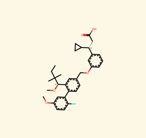 CCC(C)(C)[C@H](OC)c1cc(COc2cccc([C@@H](CC(=O)O)C3CC3)c2)ccc1-c1cc(OC)ccc1F